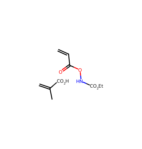 C=C(C)C(=O)O.C=CC(=O)ONC(=O)OCC